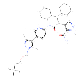 Cc1nn(COCC[Si](C)(C)C)c(C)c1-c1ccc(NC(=O)C(c2cnn(C)c2C(N)=O)C(C2CCCCC2)C2CCCCC2)nc1F